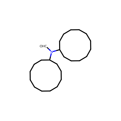 O=[C]N(C1CCCCCCCCCCC1)C1CCCCCCCCCCC1